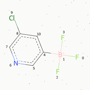 F[B-](F)(F)c1cncc(Cl)c1